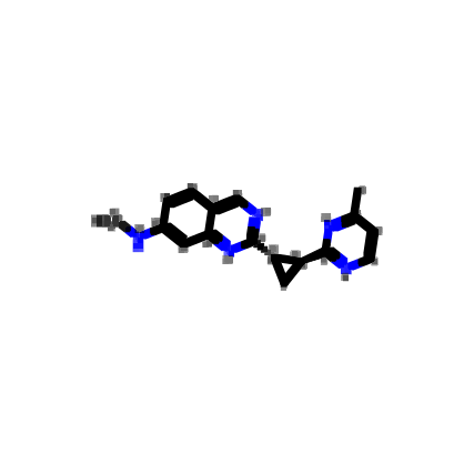 Cc1ccnc([C@H]2C[C@@H]2c2ncc3ccc(NC(=O)O)cc3n2)n1